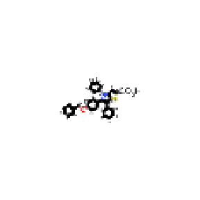 O=C(O)c1cc2c(s1)c(-c1ccccc1)c(-c1ccc(OCc3ccccc3)cc1)n2-c1ccccc1